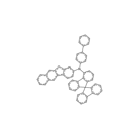 c1ccc(-c2ccc(N(c3ccc4c(n3)oc3cc5ccccc5cc34)c3cccc4c3-c3ccccc3C43c4ccccc4-c4ccccc43)cc2)cc1